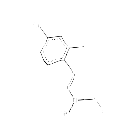 CCCN(C=Nc1ccc(Cl)cc1C)SCC